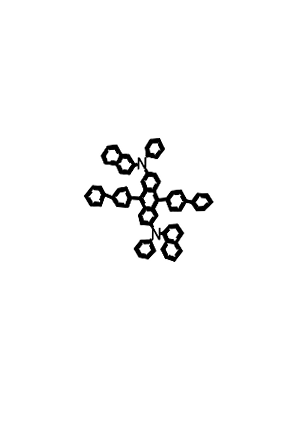 c1ccc(-c2ccc(-c3c4ccc(N(c5ccccc5)c5cccc6ccccc56)cc4c(-c4ccc(-c5ccccc5)cc4)c4ccc(N(c5ccccc5)c5ccc6ccccc6c5)cc34)cc2)cc1